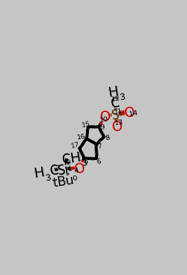 CC(C)(C)[Si](C)(C)OC1CC2CC(OS(C)(=O)=O)CC2C1